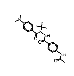 CC(=O)Nc1ccc(C(=O)NN(C(=O)c2ccc(N(C)C)cc2)C(C)(C)C)cc1